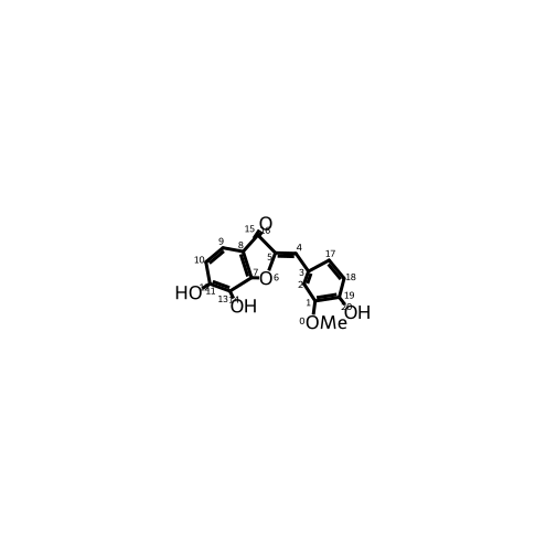 COc1cc(/C=C2\Oc3c(ccc(O)c3O)C2=O)ccc1O